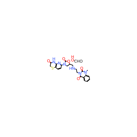 Cn1c(=O)n(CCNCC2CN(c3ccc4c(n3)NC(=O)CS4)C(=O)O2)c(=O)c2ccccc21.O=CO